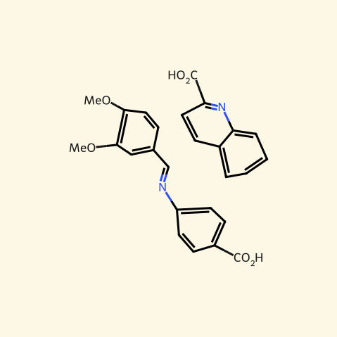 COc1ccc(C=Nc2ccc(C(=O)O)cc2)cc1OC.O=C(O)c1ccc2ccccc2n1